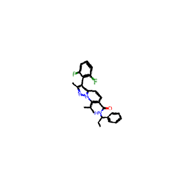 CCC(NC(=O)c1ccc2c(-c3c(F)cccc3F)c(C)nn2c1C(C)C)c1ccccc1